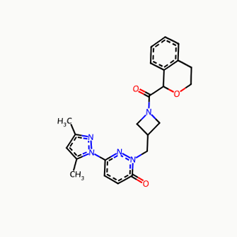 Cc1cc(C)n(-c2ccc(=O)n(CC3CN(C(=O)C4OCCc5ccccc54)C3)n2)n1